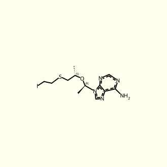 C[C@@H](CSCCI)O[C@H](C)n1cnc2c(N)ncnc21